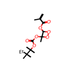 C=C(C)C(=O)OC1OOC1(C)OC(=O)OC(C)(C)C(C)(C)CC